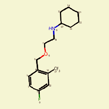 Fc1ccc(COCCNC2CCCCC2)c(C(F)(F)F)c1